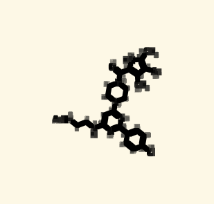 CC(=O)NCCNc1cc(N2CCN(C(=O)c3[nH]c(C)c(C(C)=O)c3C)CC2)nc(-c2ccc(Cl)cc2)n1